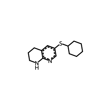 c1nc2c(cc1SC1CCCCC1)CCCN2